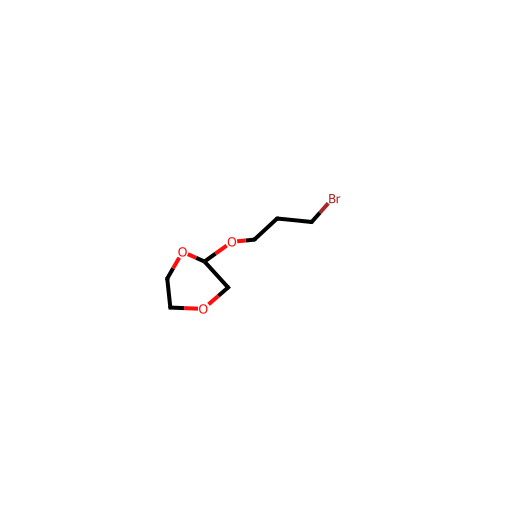 BrCCCOC1COCCO1